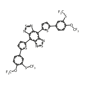 FC(F)(F)Oc1ccc(-c2ccc(-c3c4c(c(-c5ccc(-c6ccc(OC(F)(F)F)c(SC(F)(F)F)c6)s5)c5nsnc35)N=S=N4)s2)cc1SC(F)(F)F